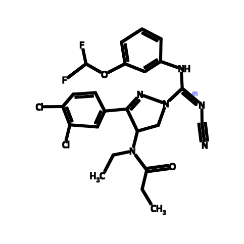 CCC(=O)N(CC)C1CN(/C(=N\C#N)Nc2cccc(OC(F)F)c2)N=C1c1ccc(Cl)c(Cl)c1